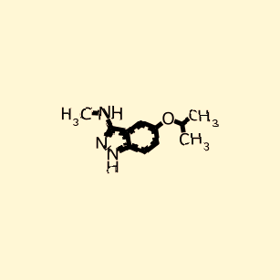 CNc1n[nH]c2ccc(OC(C)C)cc12